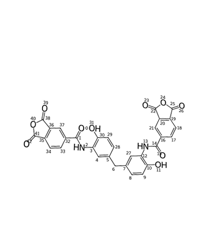 O=C(Nc1cc(Cc2ccc(O)c(NC(=O)c3ccc4c(c3)C(=O)OC4=O)c2)ccc1O)c1ccc2c(c1)C(=O)OC2=O